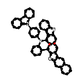 c1ccc(N(c2ccc(-n3c4ccccc4c4ccccc43)cc2)c2cccc3oc4ccccc4c23)c(-c2cccc3c2oc2cc4ccccc4cc23)c1